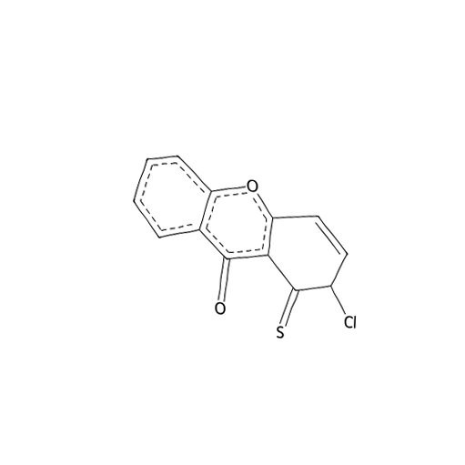 O=c1c2c(oc3ccccc13)C=CC(Cl)C2=S